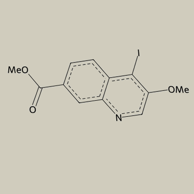 COC(=O)c1ccc2c(I)c(OC)cnc2c1